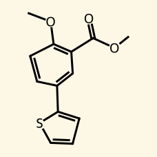 COC(=O)c1cc(-c2cccs2)ccc1OC